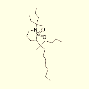 CCCCCCCC(C)(CCCC)C1CCCN(C(C)(CC)CCC)S1(=O)=O